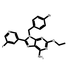 CCOc1nc(N)c2nc(-c3cncc(F)c3)n(Cc3ccc(Br)cc3)c2n1